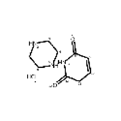 C1CNCCN1.Cl.O=C1C=CCC(=O)N1